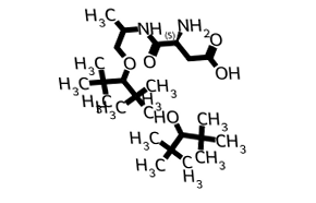 CC(C)(C)C(O)C(C)(C)C.CC(COC(C(C)(C)C)C(C)(C)C)NC(=O)[C@@H](N)CC(=O)O